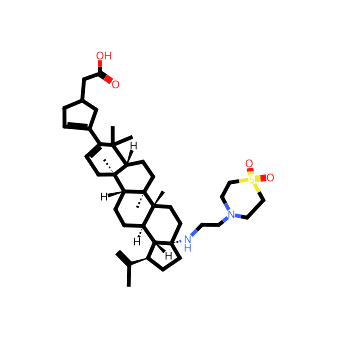 C=C(C)[C@@H]1CC[C@]2(NCCN3CCS(=O)(=O)CC3)CC[C@]3(C)[C@H](CC[C@@H]4[C@@]5(C)CC=C(C6=CCC(CC(=O)O)C6)C(C)(C)[C@@H]5CC[C@]43C)[C@@H]12